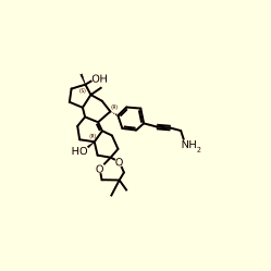 CC1(C)COC2(CCC3=C4C(CC[C@@]3(O)C2)C2CC[C@](C)(O)C2(C)C[C@@H]4c2ccc(C#CCN)cc2)OC1